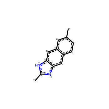 Cc1ccc2cc3nc(C)[nH]c3cc2c1